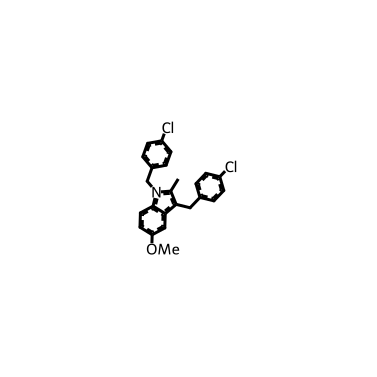 COc1ccc2c(c1)c(Cc1ccc(Cl)cc1)c(C)n2Cc1ccc(Cl)cc1